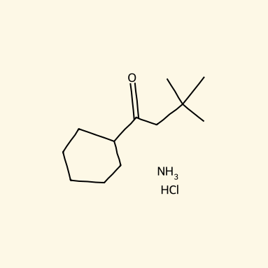 CC(C)(C)CC(=O)C1CCCCC1.Cl.N